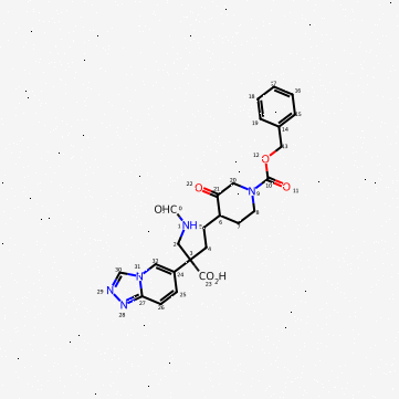 O=CNCC(CCC1CCN(C(=O)OCc2ccccc2)CC1=O)(C(=O)O)c1ccc2nncn2c1